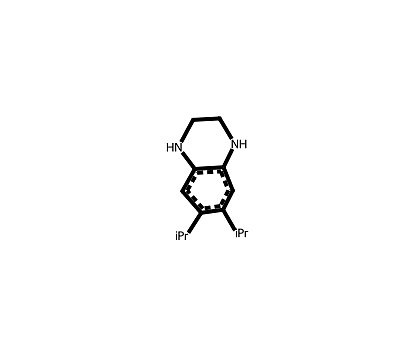 CC(C)c1cc2c(cc1C(C)C)NCCN2